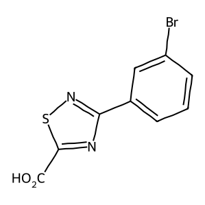 O=C(O)c1nc(-c2cccc(Br)c2)ns1